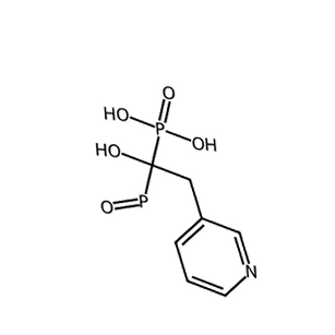 O=PC(O)(Cc1cccnc1)P(=O)(O)O